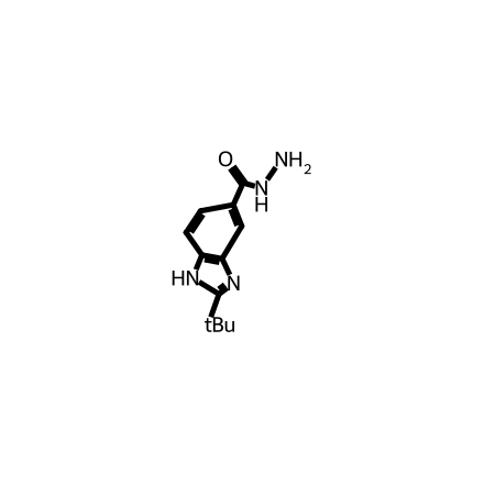 CC(C)(C)c1nc2cc(C(=O)NN)ccc2[nH]1